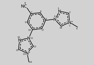 C[n+]1cnn(-c2cc(C#N)cc(-n3c[n+](C)cn3)c2)c1